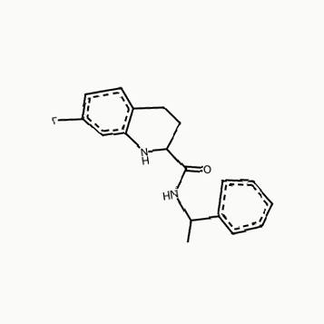 CC(NC(=O)C1CCc2ccc(F)cc2N1)c1ccccc1